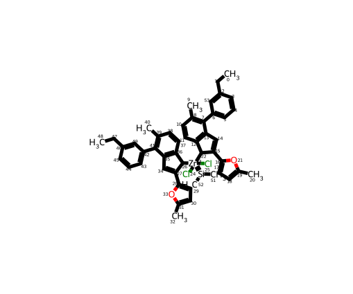 CCc1cccc(-c2c(C)ccc3c2C=C(c2ccc(C)o2)[CH]3[Zr]([Cl])([Cl])([CH]2C(c3ccc(C)o3)=Cc3c2ccc(C)c3-c2cccc(CC)c2)=[Si](C)C)c1